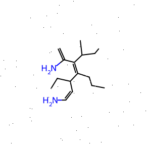 C=C(N)/C(=C(/CCC)C(/C=C\N)CC)C(C)CC